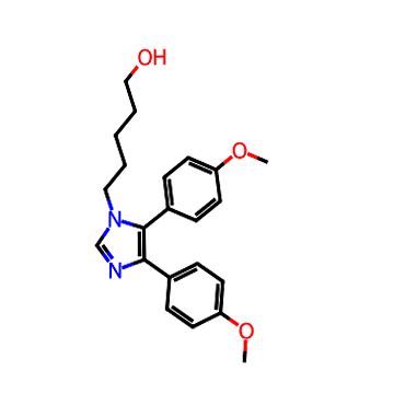 COc1ccc(-c2ncn(CCCCCO)c2-c2ccc(OC)cc2)cc1